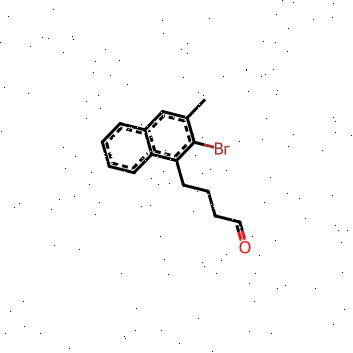 Cc1cc2ccccc2c(CCCC=O)c1Br